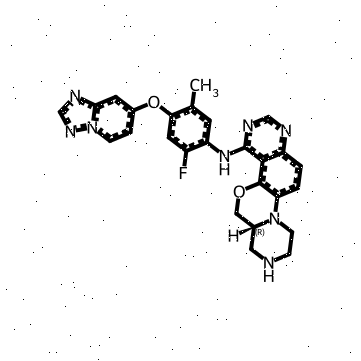 Cc1cc(Nc2ncnc3ccc4c(c23)OC[C@H]2CNCCN42)c(F)cc1Oc1ccn2ncnc2c1